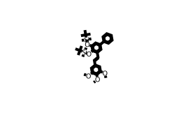 COc1cc(C=Cc2cc(-c3ccccc3)cc(O[Si](C)(C)C(C)(C)C)c2O[Si](C)(C)C(C)(C)C)cc(OC)c1OC